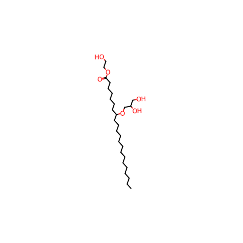 CCCCCCCCCCCCCCC(CCCCCCC(=O)OCCO)OCC(O)CO